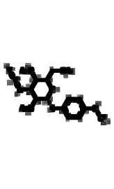 CC(=O)OCC1O[C@H](Sc2ccc(OC(F)(F)F)cc2)C(OC(C)=O)[C@@H](N=[N+]=[N-])[C@H]1OC(C)=O